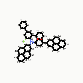 Fc1cc(-c2ccccc2)cc(-c2ccccc2)c1N(c1ccc(-c2cc3ccc4cccc5ccc(c2)c3c45)cc1)c1cc2ccc3cccc4ccc(c1)c2c34